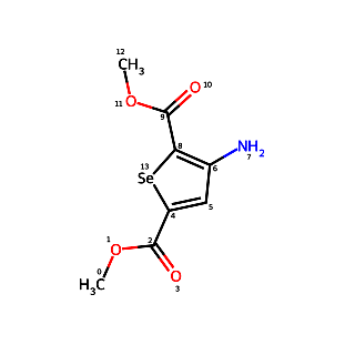 COC(=O)c1cc(N)c(C(=O)OC)[se]1